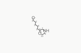 [O]CCCCCC1CNCCO1